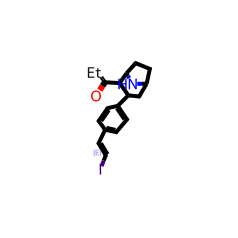 CCC(=O)C1C2CCC(CC1c1ccc(/C=C/I)cc1)N2